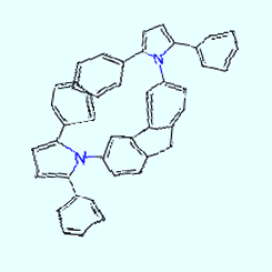 c1ccc(-c2ccc(-c3ccccc3)n2-c2ccc3c(c2)-c2cc(-n4c(-c5ccccc5)ccc4-c4ccccc4)ccc2C3)cc1